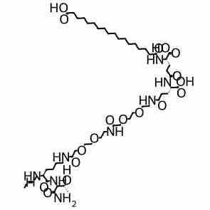 CI=IN[C@@H](CCCCNC(=O)COCCOCCNC(=O)COCCOCCNC(=O)CC[C@H](NC(=O)CC[C@H](NC(=O)CCCCCCCCCCCCCCCCC(=O)O)C(=O)O)C(=O)O)C(=O)N[C@H](C(N)=O)[C@@H](C)O